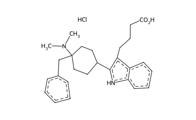 CN(C)C1(Cc2ccccc2)CCC(c2[nH]c3ccccc3c2CCCC(=O)O)CC1.Cl